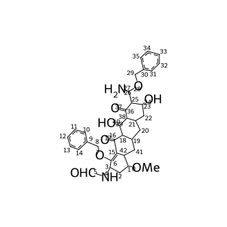 COC1CC(NC=O)C(OCc2ccccc2)=C2C(=O)C3C(CC4CC(O)C(C(N)OCc5ccccc5)C(=O)C4C3O)CC21